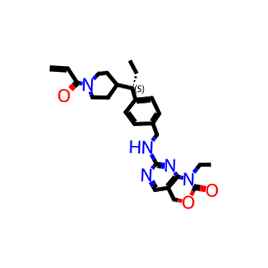 C=CC(=O)N1CCC([C@H](CC)c2ccc(CNc3ncc4c(n3)N(CC)C(=O)OC4)cc2)CC1